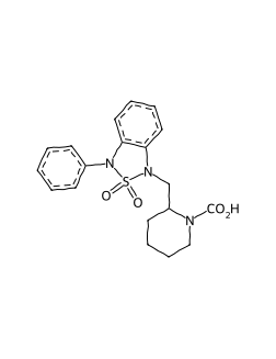 O=C(O)N1CCCCC1CN1c2ccccc2N(c2ccccc2)S1(=O)=O